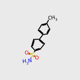 Cc1ccc(-c2ccc(S(N)(=O)=O)cc2)cc1